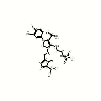 Cn1c(CON2ON(c3ccc(F)c(Br)c3)C(C(=N)N)=C2NCCNS(=O)(=O)O)cnc1[N+](=O)[O-]